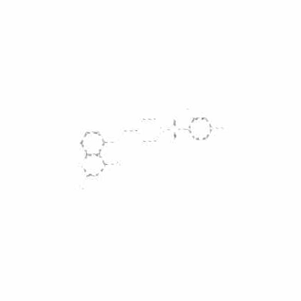 Nc1nc(N)c2c(OCC3CCN(S(=O)(=O)c4ccc(Cl)cc4Cl)CC3)cccc2n1